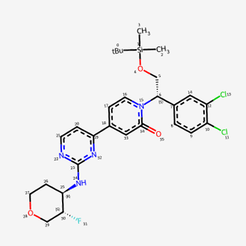 CC(C)(C)[Si](C)(C)OC[C@H](c1ccc(Cl)c(Cl)c1)n1ccc(-c2ccnc(N[C@@H]3CCOC[C@H]3F)n2)cc1=O